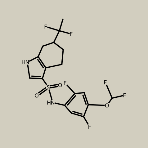 CC(F)(F)C1CCc2c(S(=O)(=O)Nc3cc(F)c(OC(F)F)cc3F)c[nH]c2C1